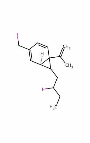 C=C(C)C12C=CC(CI)=C[C@@H]1C2CC(I)CC